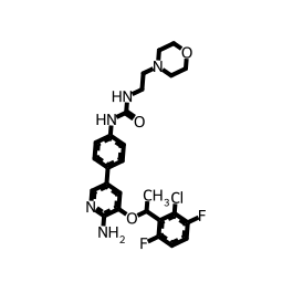 CC(Oc1cc(-c2ccc(NC(=O)NCCN3CCOCC3)cc2)cnc1N)c1c(F)ccc(F)c1Cl